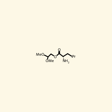 COC(COC(=O)[C@@H](N)CC(C)C)OC